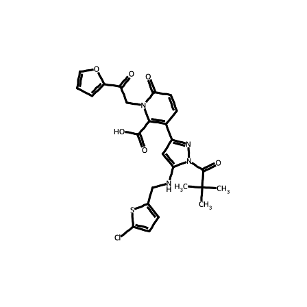 CC(C)(C)C(=O)n1nc(-c2ccc(=O)n(CC(=O)c3ccco3)c2C(=O)O)cc1NCc1ccc(Cl)s1